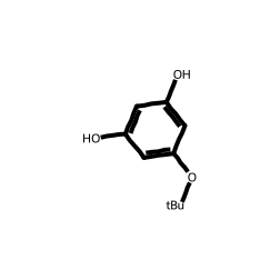 CC(C)(C)Oc1cc(O)cc(O)c1